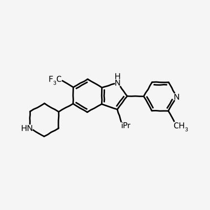 Cc1cc(-c2[nH]c3cc(C(F)(F)F)c(C4CCNCC4)cc3c2C(C)C)ccn1